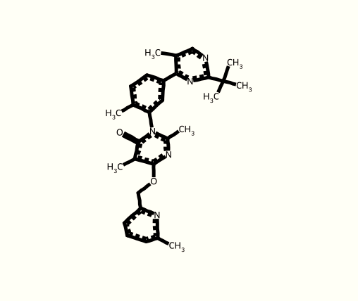 Cc1cccc(COc2nc(C)n(-c3cc(-c4nc(C(C)(C)C)ncc4C)ccc3C)c(=O)c2C)n1